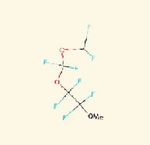 COC(F)(F)C(F)(F)OC(F)(F)OC(F)F